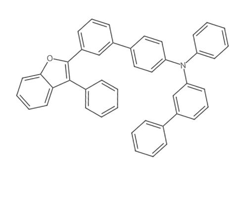 c1ccc(-c2cccc(N(c3ccccc3)c3ccc(-c4cccc(-c5oc6ccccc6c5-c5ccccc5)c4)cc3)c2)cc1